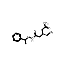 CC(C)C[C@H](CC(N)=O)CC(=O)[OH+][N-]C(C)c1ccccc1